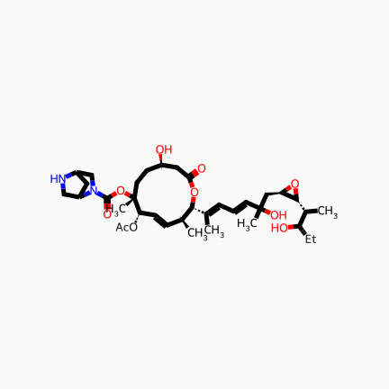 CCC(O)C(C)[C@H]1O[C@@H]1CC(C)(O)/C=C/C=C(\C)[C@H]1OC(=O)C[C@H](O)CC[C@@](C)(OC(=O)N2CC3CC2CN3)[C@@H](OC(C)=O)/C=C/[C@@H]1C